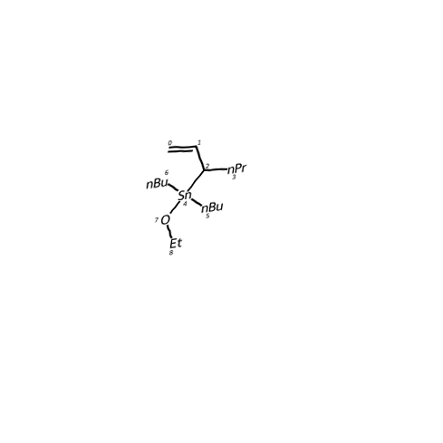 C=C[CH](CCC)[Sn]([CH2]CCC)([CH2]CCC)[O]CC